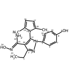 CCc1nn(-c2ccc(O)cc2)c(-n2c(C)ccc2C)c1/C(N)=N/O